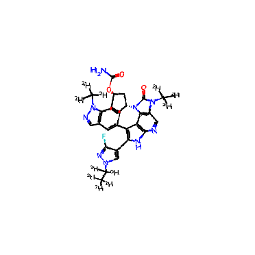 [2H]C([2H])([2H])n1ncc2cc(-c3c(-c4cn(C([2H])([2H])C([2H])([2H])[2H])nc4F)[nH]c4ncc5c(c34)n([C@@H]3CC[C@@H](OC(N)=O)C3)c(=O)n5C([2H])([2H])[2H])ccc21